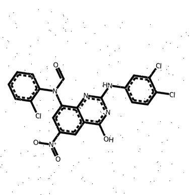 O=CN(c1ccccc1Cl)c1cc([N+](=O)[O-])cc2c(O)nc(Nc3ccc(Cl)c(Cl)c3)nc12